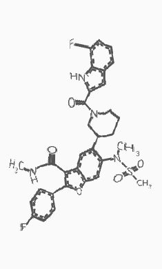 CNC(=O)c1c(-c2ccc(F)cc2)oc2cc(N(C)S(C)(=O)=O)c([C@@H]3CCCN(C(=O)c4cc5cccc(F)c5[nH]4)C3)cc12